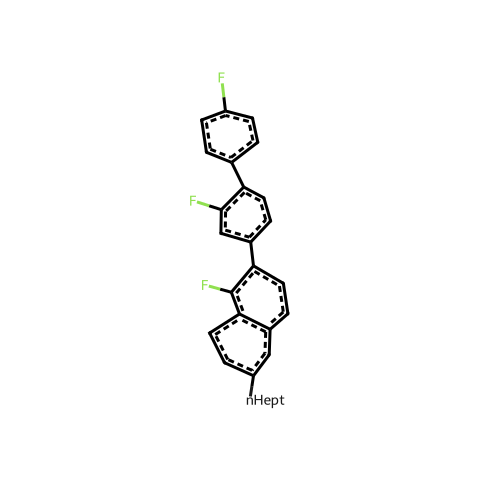 CCCCCCCc1ccc2c(F)c(-c3ccc(-c4ccc(F)cc4)c(F)c3)ccc2c1